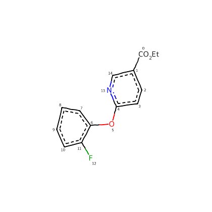 CCOC(=O)c1ccc(Oc2ccccc2F)nc1